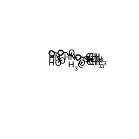 COc1cc(NC(=O)CCc2ccc(-c3ccccc3)c(NC(=O)O)c2)ccc1CO[Si](C)(C)C(C)(C)C